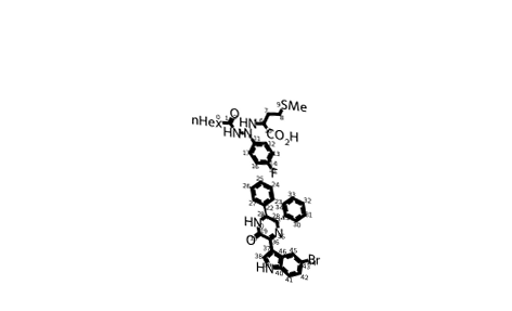 CCCCCCC(=O)NN(NC(CCSC)C(=O)O)c1ccc(F)cc1.O=C1N[C@@H](c2ccccc2)[C@H](c2ccccc2)N=C1c1c[nH]c2ccc(Br)cc12